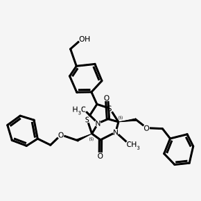 CN1C(=O)[C@]2(COCc3ccccc3)SC(c3ccc(CO)cc3)S[C@@]1(COCc1ccccc1)C(=O)N2C